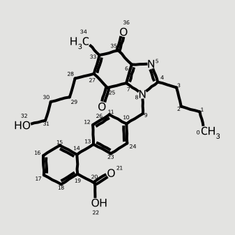 CCCCc1nc2c(n1Cc1ccc(-c3ccccc3C(=O)O)cc1)C(=O)C(CCCCO)=C(C)C2=O